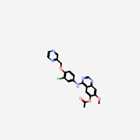 COc1cc2ncnc(Nc3ccc(OCc4cnccn4)c(Cl)c3)c2cc1OC(C)=O